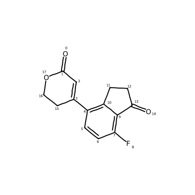 O=C1C=C(c2ccc(F)c3c2CCC3=O)CCO1